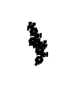 CN1CCC(Nc2cc(C(F)(F)F)c(-c3cnc4c(Nc5ccc(C(F)(F)F)cn5)ccnc4n3)nn2)CC1